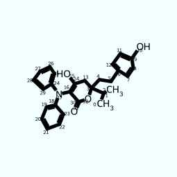 CC(C)C1(CCc2ccc(O)cc2)CC(O)=C(N(c2ccccc2)c2ccccc2)C(=O)O1